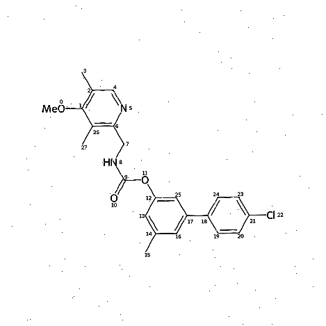 COc1c(C)cnc(CNC(=O)Oc2cc(C)cc(-c3ccc(Cl)cc3)c2)c1C